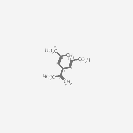 C=C(C(=O)O)C(C=CC(=O)O)C=C(C)C(=O)O